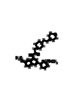 CNc1nccc(-c2cc(NC(=O)CN3CCN(CCN4CCOCC4)CC3)c3cc(OC)ccc3c2)n1